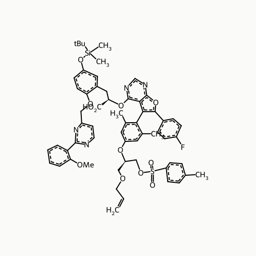 C=CCOC[C@H](COS(=O)(=O)c1ccc(C)cc1)Oc1cc(C)c(-c2c(-c3ccc(F)cc3)oc3ncnc(O[C@H](Cc4cc(O[Si](C)(C)C(C)(C)C)ccc4OCc4ccnc(-c5ccccc5OC)n4)C(=O)O)c23)c(C)c1